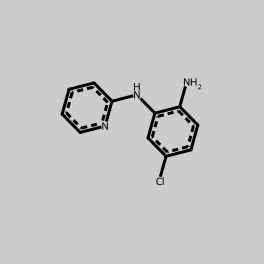 Nc1ccc(Cl)cc1Nc1ccccn1